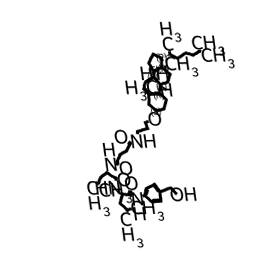 CC(C)CCCC(C)[C@H]1CC[C@H]2[C@@H]3CC=C4C[C@@H](OCCCNC(=O)CCC(=O)NC(CC(C)C)C(=O)NC(CC(C)C)C(=O)Nc5ccc(CO)cc5)CC[C@]4(C)[C@H]3CC[C@]12C